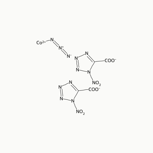 O=C([O-])c1nnnn1[N+](=O)[O-].O=C([O-])c1nnnn1[N+](=O)[O-].[N-]=[N+]=[N][Co+2]